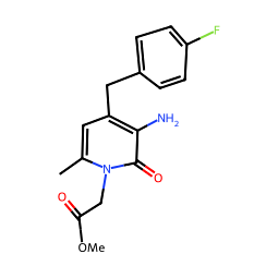 COC(=O)Cn1c(C)cc(Cc2ccc(F)cc2)c(N)c1=O